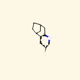 O=[N+]([O-])c1cnc2c(c1)C1CCC(C2)C1